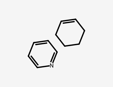 C1=CCCCC1.c1ccncc1